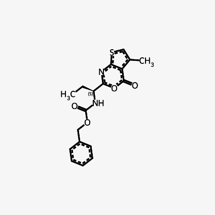 CC[C@H](NC(=O)OCc1ccccc1)c1nc2scc(C)c2c(=O)o1